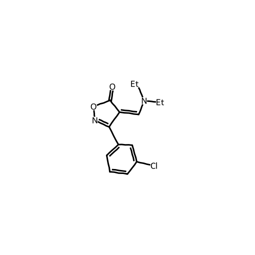 CCN(/C=C1\C(=O)ON=C1c1cccc(Cl)c1)CC